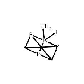 CP12(I)P3C4P1C3P42